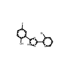 Oc1ccc(F)cc1-c1nc(-c2ncccc2Br)n[nH]1